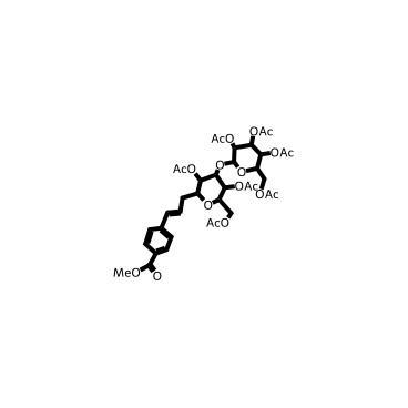 COC(=O)c1ccc(C=CCC2OC(COC(C)=O)C(OC(C)=O)C(OC3OC(COC(C)=O)C(OC(C)=O)C(OC(C)=O)C3OC(C)=O)C2OC(C)=O)cc1